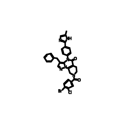 Cc1cnc(-c2ccc(-n3c(=O)c4c(n5ncc(Cc6ccccc6)c35)CN(C(=O)c3ccc(Br)c(Cl)c3)CC4)cc2)[nH]1